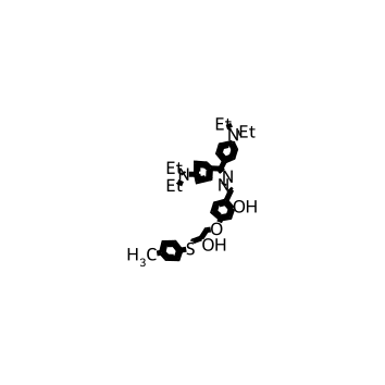 CCN(CC)c1ccc(C(=N/N=C/c2ccc(OCC(O)CSc3ccc(C)cc3)cc2O)c2ccc(N(CC)CC)cc2)cc1